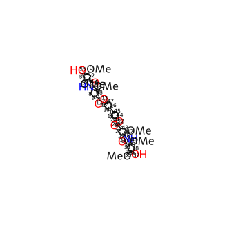 COc1cc(C(=O)Nc2ccc(C(=O)Oc3ccc(-c4ccc(OC(=O)c5ccc(NC(=O)c6cc(OC)c(O)cc6OC)c(OC)c5)cc4)cc3)cc2OC)c(OC)cc1O